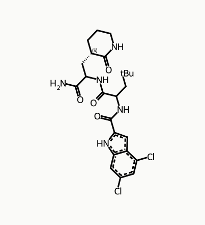 CC(C)(C)CC(NC(=O)c1cc2c(Cl)cc(Cl)cc2[nH]1)C(=O)NC(C[C@@H]1CCCNC1=O)C(N)=O